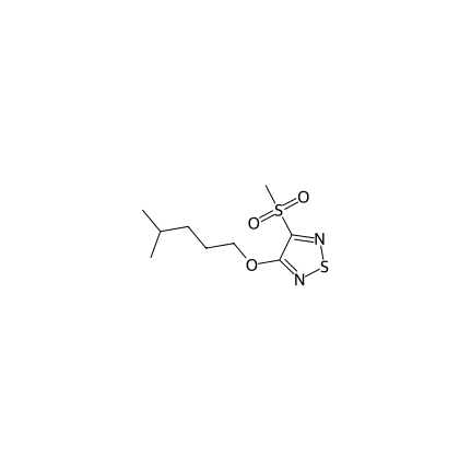 CC(C)CCCOc1nsnc1S(C)(=O)=O